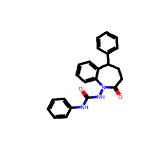 O=C(Nc1ccccc1)NN1C(=O)CCC(c2ccccc2)c2ccccc21